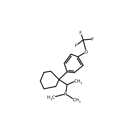 CC(N(C)C)C1(c2ccc(OC(F)(F)F)cc2)CCCCC1